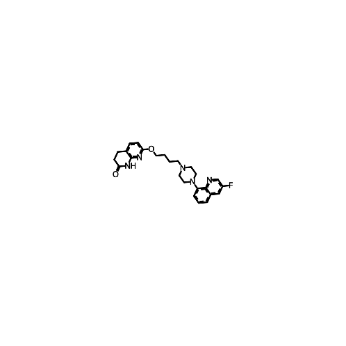 O=C1CCc2ccc(OCCCCN3CCN(c4cccc5cc(F)cnc45)CC3)nc2N1